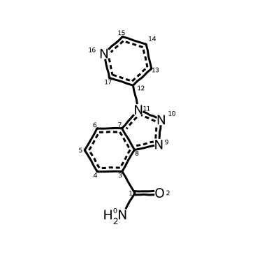 NC(=O)c1cccc2c1nnn2-c1cccnc1